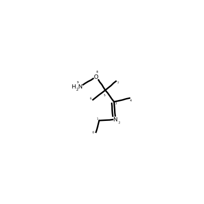 CCN=C(C)C(C)(C)ON